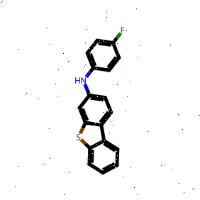 Fc1ccc(Nc2ccc3c(c2)sc2ccccc23)cc1